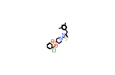 Cc1cc(C)cc(Cc2csc(N3CCC(S(=O)(=O)C4C=CC=CC4(C)Cl)CC3)n2)c1